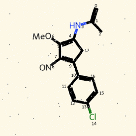 C=C(C)NC1=C(OC)C(N=O)=C(c2ccc(Cl)cc2)C1